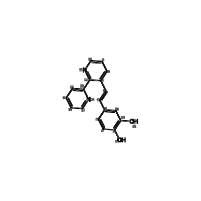 Oc1ccc(C=Cc2cccnc2-c2ccccn2)cc1O